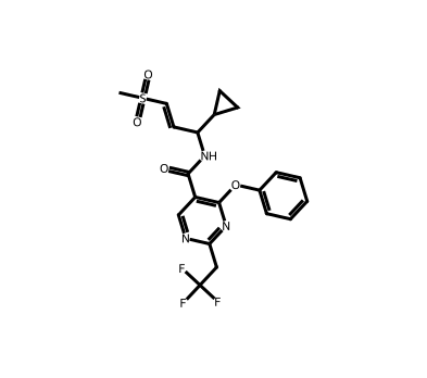 CS(=O)(=O)C=CC(NC(=O)c1cnc(CC(F)(F)F)nc1Oc1ccccc1)C1CC1